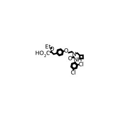 CCOC(Cc1ccc(OCCN(CC2CCC2)C(=O)Nc2ccc(Cl)cc2Cl)cc1)C(=O)O